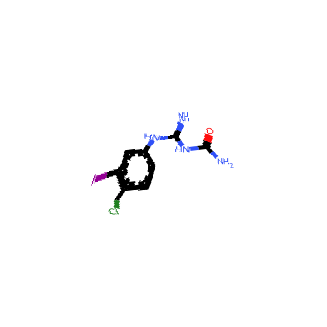 N=C(NC(N)=O)Nc1ccc(Cl)c(I)c1